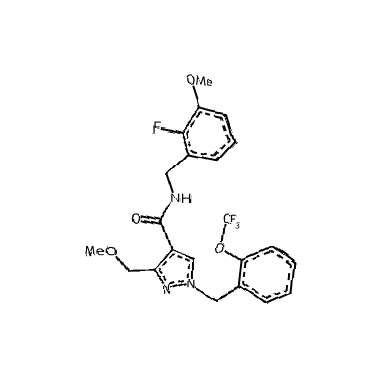 COCc1nn(Cc2ccccc2OC(F)(F)F)cc1C(=O)NCc1cccc(OC)c1F